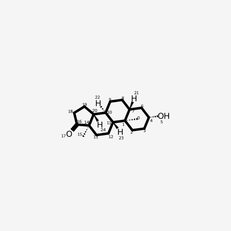 C[C@@]12CC[C@@H](O)C[C@H]1CC[C@H]1[C@H]2CC[C@@]2(C)C(=O)CC[C@H]12